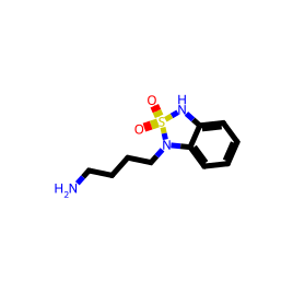 NCCCCN1c2ccccc2NS1(=O)=O